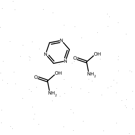 NC(=O)O.NC(=O)O.c1ncncn1